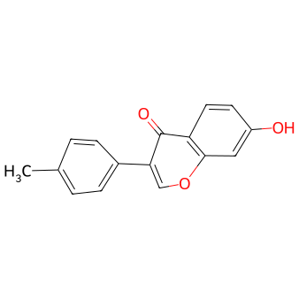 Cc1ccc(-c2coc3cc(O)ccc3c2=O)cc1